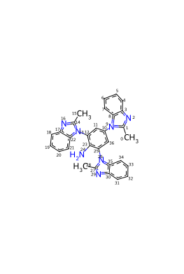 Cc1nc2ccccc2n1-c1cc(-n2c(C)nc3ccccc32)c(N)c(-n2c(C)nc3ccccc32)c1